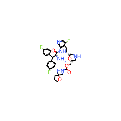 CC1(CNC(=O)OC[C@@H]2CNC[C@@H](CCc3c(F)cncc3NC(=O)[C@@H](N)C(c3ccc(F)cc3)c3ccc(F)cc3)O2)CCCO1